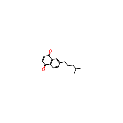 CC(C)CCCc1ccc2c(c1)C(=O)C=CC2=O